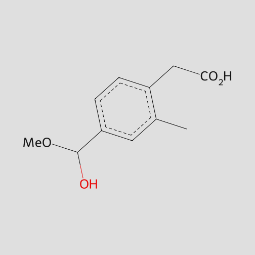 COC(O)c1ccc(CC(=O)O)c(C)c1